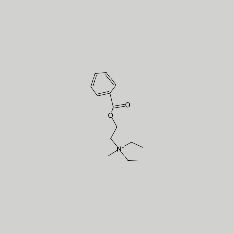 CC[N+](C)(CC)CCOC(=O)c1ccccc1